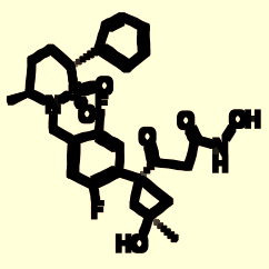 C[C@H]1CC[C@H](c2ccccc2)S(=O)(=O)N1Cc1cc(F)c([C@]2(C(=O)CC(=O)NO)C[C@](C)(O)C2)cc1F